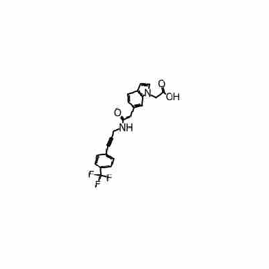 O=C(O)Cn1ccc2ccc(CC(=O)NCC#Cc3ccc(C(F)(F)F)cc3)cc21